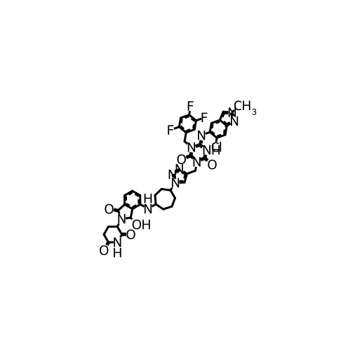 Cn1cc2cc(/N=c3\[nH]c(=O)n(Cc4cn(C5CCCC(Nc6cccc7c6C(O)N(C6CCC(=O)NC6=O)C7=O)CC5)nn4)c(=O)n3Cc3cc(F)c(F)cc3F)c(Cl)cc2n1